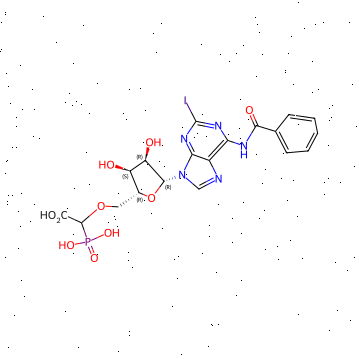 O=C(Nc1nc(I)nc2c1ncn2[C@@H]1O[C@H](COC(C(=O)O)P(=O)(O)O)[C@@H](O)[C@H]1O)c1ccccc1